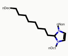 CCCCCCCCCCCCCCCCCCC1N(CCCCCCCC)C=CN1CCCCCCCCC